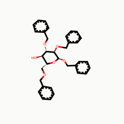 O[C@H]1[C@H](OCc2ccccc2)[C@@H](OCc2ccccc2)[C@@H](OCc2ccccc2)O[C@@H]1COCc1ccccc1